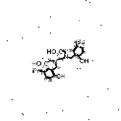 CCC(C)c1ccc(O)c(CN(CCN(CC(=O)O)Cc2cc(C(C)C)ccc2O)CC(=O)O)c1